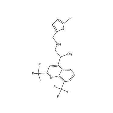 Cc1ccc(CNCC(O)c2cc(C(F)(F)F)nc3c(C(F)(F)F)cccc23)s1